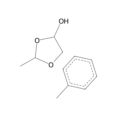 CC1OCC(O)O1.Cc1ccccc1